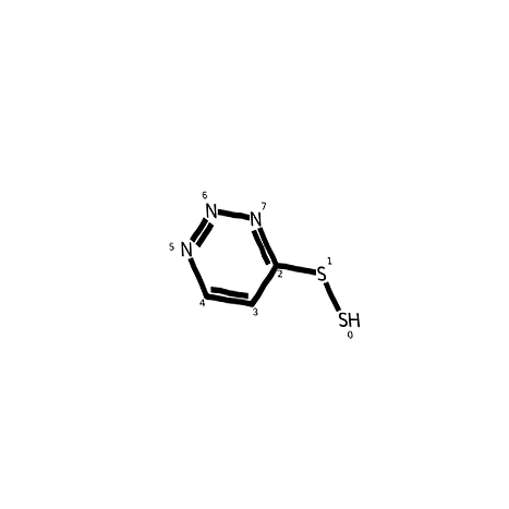 SSc1ccnnn1